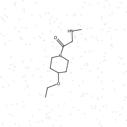 CCOC1CCN(C(=O)CNC)CC1